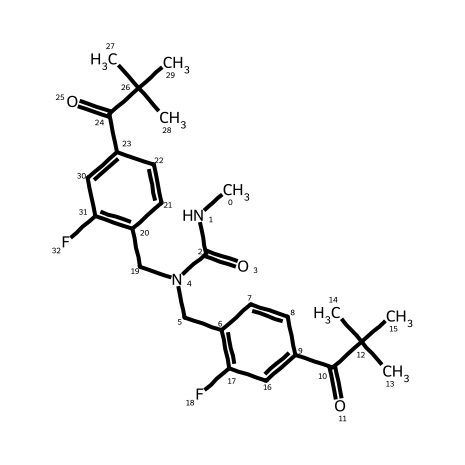 CNC(=O)N(Cc1ccc(C(=O)C(C)(C)C)cc1F)Cc1ccc(C(=O)C(C)(C)C)cc1F